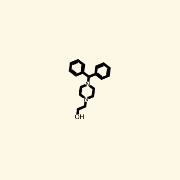 O[CH]CN1CCN(C(c2ccccc2)c2ccccc2)CC1